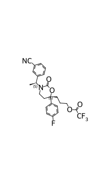 C[C@@H](c1cccc(C#N)c1)N1CC[C@@](CCCOC(=O)C(F)(F)F)(c2ccc(F)cc2)OC1=O